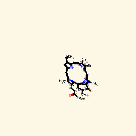 C=Cc1cc2cc3nc(c(CC(=O)OC)c4[nH]c(cc5nc(cc1[nH]2)C(C)=C5CC)c(C)c4C(=O)OC)[C@@H](CCC(=O)OC)[C@@H]3C